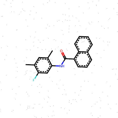 Cc1cc(C)c(NC(=O)c2cccc3ccccc23)cc1F